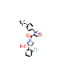 Cc1ccc(-c2nocc2C(=O)N2CCC(O)(c3ccccc3Cl)C2)cc1